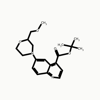 COCC1CN(c2ccc3nccc(C(=O)OC(C)(C)C)c3c2)CCO1